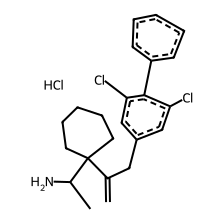 C=C(Cc1cc(Cl)c(-c2ccccc2)c(Cl)c1)C1(C(C)N)CCCCC1.Cl